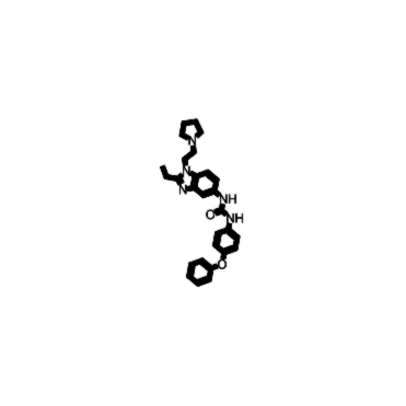 CCc1nc2cc(NC(=O)Nc3ccc(Oc4ccccc4)cc3)ccc2n1CCN1CCCC1